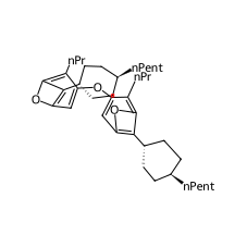 CCCCC[C@H]1CC[C@H](c2c3cc(Oc4cc5c([C@H]6CC[C@H](CCCCC)CC6)c(c4CCC)O5)c(CCC)c2O3)CC1